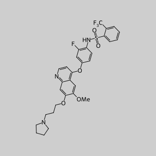 COc1cc2c(Oc3ccc(NS(=O)(=O)c4ccccc4C(F)(F)F)c(F)c3)ccnc2cc1OCCCN1CCCC1